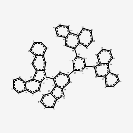 c1ccc2cc3c(cc2c1)c1c2ccccc2ccc1n3-c1cc(-c2nc(-c3cc4ccccc4c4ccccc34)nc(-c3cc4ccccc4c4ccccc34)n2)cc2oc3ccccc3c12